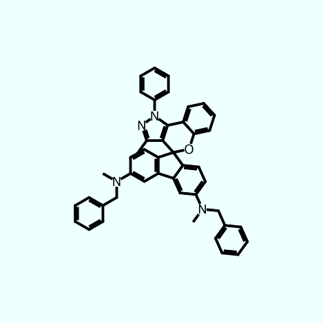 Cc1nn(-c2ccccc2)c2c1C1(Oc3ccccc3-2)c2ccc(N(C)Cc3ccccc3)cc2-c2cc(N(C)Cc3ccccc3)ccc21